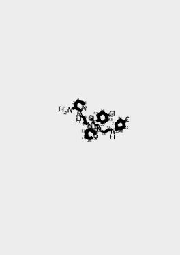 Nc1cccnc1NCCN(c1cccnc1NCCNc1ccc(Cl)cc1)S(=O)(=O)c1ccc(Cl)cc1